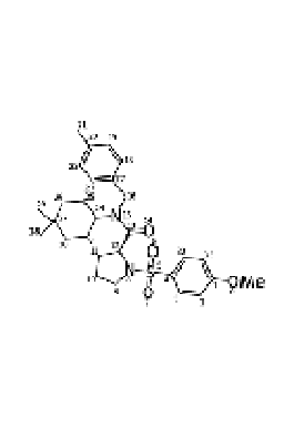 COc1ccc(S(=O)(=O)N2CCC[C@H]2C(=O)N(Cc2ccc(C)cc2)C2CCC(C)(C)CC2)cc1